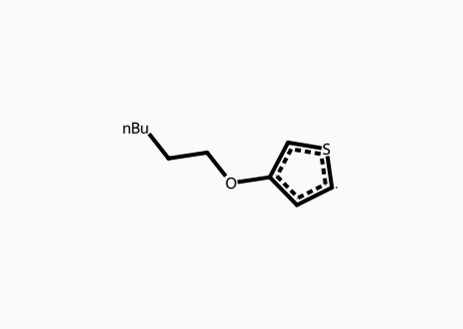 CCCCCCOc1c[c]sc1